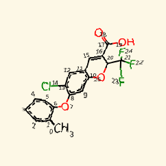 Cc1ccccc1Oc1cc2c(cc1Cl)C=C(C(=O)O)C(C(F)(F)F)O2